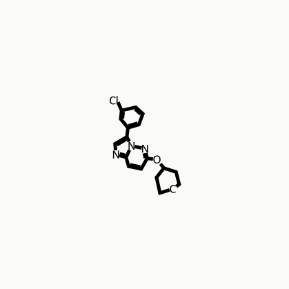 Clc1cccc(-c2cnc3ccc(OC4CCCCC4)nn23)c1